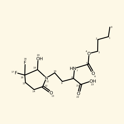 CCCCOC(=O)NC(CCN1C(=O)CCC(F)(F)C1O)C(=O)O